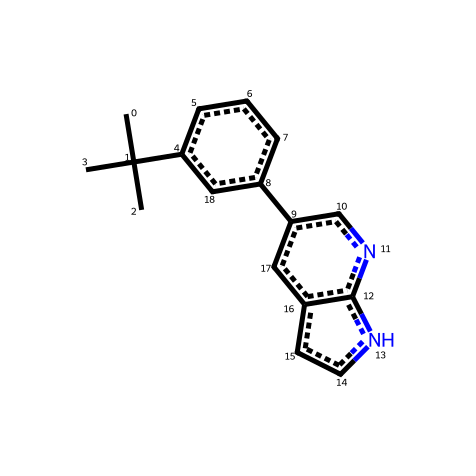 CC(C)(C)c1cccc(-c2cnc3[nH]ccc3c2)c1